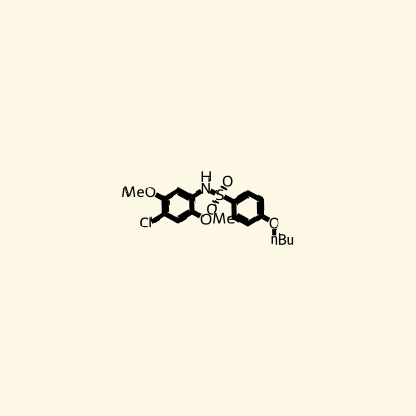 CCCCOc1ccc(S(=O)(=O)Nc2cc(OC)c(Cl)cc2OC)cc1